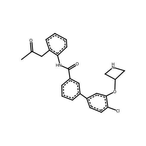 CC(=O)Cc1ccccc1NC(=O)c1cccc(-c2ccc(Cl)c(OC3CNC3)c2)c1